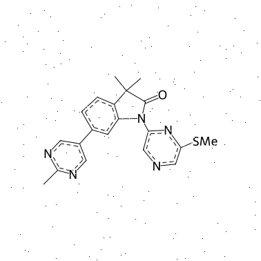 CSc1cncc(N2C(=O)C(C)(C)c3ccc(-c4cnc(C)nc4)cc32)n1